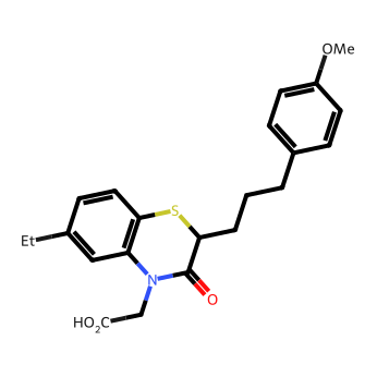 CCc1ccc2c(c1)N(CC(=O)O)C(=O)C(CCCc1ccc(OC)cc1)S2